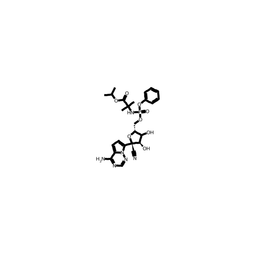 CC(C)OC(=O)C(C)(C)NP(=O)(OC[C@H]1O[C@@](C#N)(c2ccc3c(N)ncnn23)[C@H](O)C1O)Oc1ccccc1